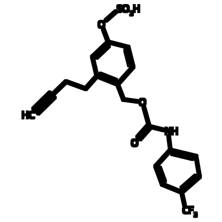 C#CCCc1cc(OS(=O)(=O)O)ccc1COC(=O)Nc1ccc(C(F)(F)F)cc1